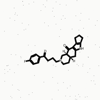 O=C(CCCN1CC[C@H]2Cc3[nH]c4c(c3C(=O)[C@@H]2C1)CCC4)c1ccc(F)cc1